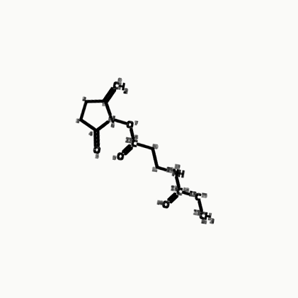 C=C1CCC(=O)N1O[13C](=O)CC[15NH][13C](=O)[13CH2][13CH3]